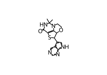 CC1(C)NC(=O)C2=C3C(OCCN31)C(c1c[nH]c3ncncc13)S2